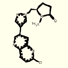 CN1C(=O)CC[C@@H]1Cn1cc(-c2cnc3ccc(Cl)nc3c2)cn1